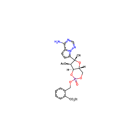 CCOC(=O)c1ccccc1COP1(=O)OC[C@H]2O[C@@](C#N)(c3ccc4c(N)ncnn34)[C@H](OC(C)=O)[C@@H]2O1